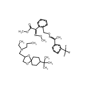 CCCN(CC)CC1COC2(CCC(C(C)(C)C)CC2)O1.CO/N=C(/C(=O)OC)c1ccccc1CO/N=C(\C)c1cccc(C(F)(F)F)c1